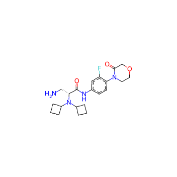 NC[C@H](C(=O)Nc1ccc(N2CCOCC2=O)c(F)c1)N(C1CCC1)C1CCC1